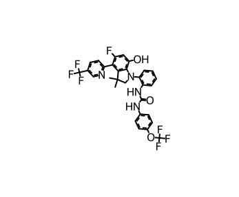 CC1(C)CN(c2ccccc2NC(=O)Nc2ccc(OC(F)(F)F)cc2)c2c(O)cc(F)c(-c3ccc(C(F)(F)F)cn3)c21